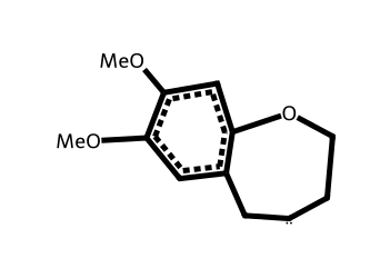 COc1cc2c(cc1OC)OCC[C]C2